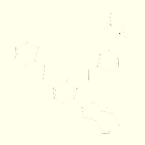 Fc1ccccc1COc1cc(OCc2ccccc2)ccc1-c1nc2cccnc2[nH]1.O=C(O)C(F)(F)F